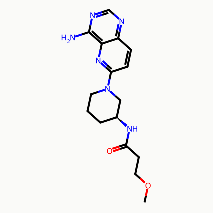 COCCC(=O)N[C@H]1CCCN(c2ccc3ncnc(N)c3n2)C1